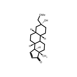 COC[C@@]1(O)CC[C@@H]2C3CC[C@]4(C)C(=O)C=C[C@H]4[C@@H]3CC[C@@H]2C1